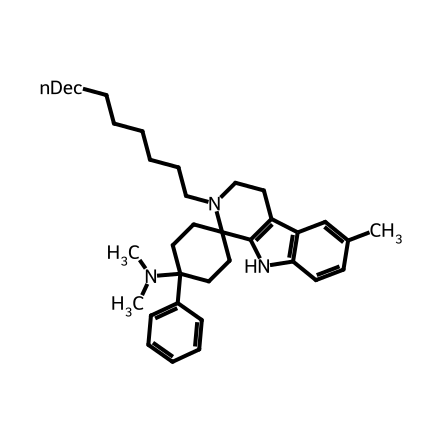 CCCCCCCCCCCCCCCCN1CCc2c([nH]c3ccc(C)cc23)C12CCC(c1ccccc1)(N(C)C)CC2